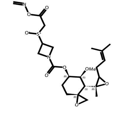 C=NOC(=O)C[S+]([O-])C1CN(C(=O)O[C@@H]2CC[C@]3(CO3)[C@@H]([C@@]3(C)OC3CC=C(C)C)[C@@H]2OC)C1